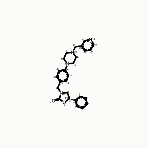 O=C1O[C@H](c2ccccc2)CN1Cc1ccc(N2CCN(Cc3cccnc3)CC2)cc1